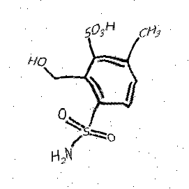 Cc1ccc(S(N)(=O)=O)c(CO)c1S(=O)(=O)O